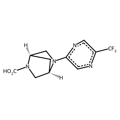 O=C(O)N1C[C@H]2C[C@@H]1CN2c1cnc(C(F)(F)F)cn1